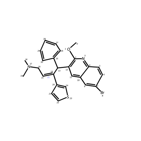 COc1nc2ccc(Br)cc2cc1C(/C(=C\CN(C)C)c1ccsc1)c1ccccc1